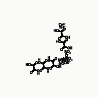 O=C(O)C(=O)O.O=C(O)C(=O)O.O=C(O)C(=O)O.O=C(O)C(=O)O.O=C(O)C(=O)O.O=[N+]([O-])[O-].O=[N+]([O-])[O-].O=[N+]([O-])[O-].O=[N+]([O-])[O-].O=[N+]([O-])[O-].[Ce+4].[NH4+]